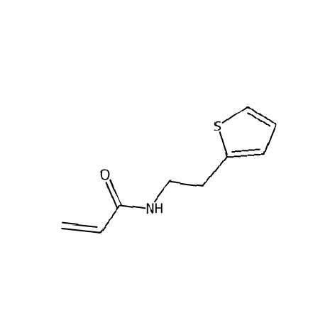 C=CC(=O)NCCc1cccs1